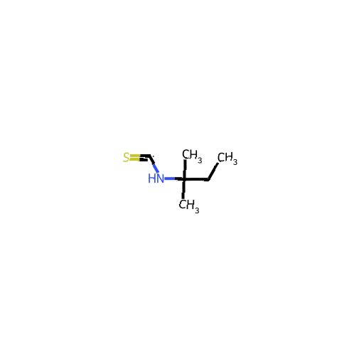 CCC(C)(C)N[C]=S